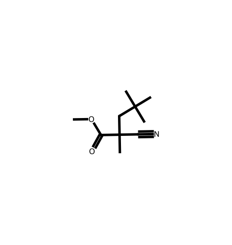 COC(=O)C(C)(C#N)CC(C)(C)C